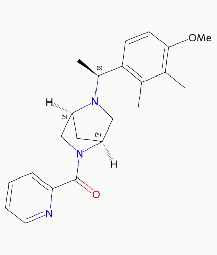 COc1ccc([C@H](C)N2C[C@@H]3C[C@H]2CN3C(=O)c2ccccn2)c(C)c1C